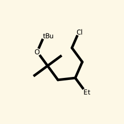 CCC(CCCl)CC(C)(C)OC(C)(C)C